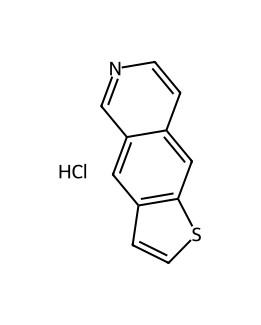 Cl.c1cc2cc3sccc3cc2cn1